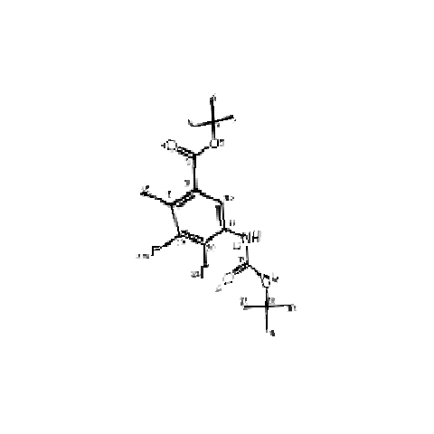 Cc1c(C(=O)OC(C)(C)C)cc(NC(=O)OC(C)(C)C)c(F)c1F